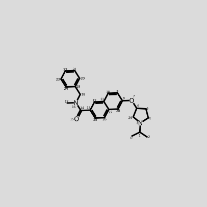 CC(C)N1CCC(Oc2ccc3cc(C(=O)N(C)Cc4ccccc4)ccc3c2)C1